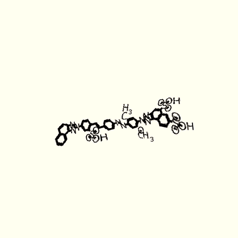 COc1cc(N=Nc2ccc(C=Cc3ccc(-n4n5c6ccc7ccccc7c6n45)cc3S(=O)(=O)O)cc2)c(C)cc1-n1n2c3cc(S(=O)(=O)O)c4cc(S(=O)(=O)O)ccc4c3n12